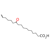 C=CCCCCC(=O)CCCCCCCCCC(=O)O